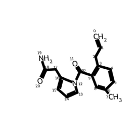 C=CCc1ccc(C)cc1C(=O)n1cccc1CC(N)=O